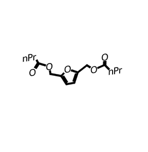 CCCC(=O)OCc1ccc(COC(=O)CCC)o1